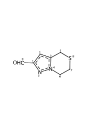 O=Cc1cc2n(n1)CCSC2